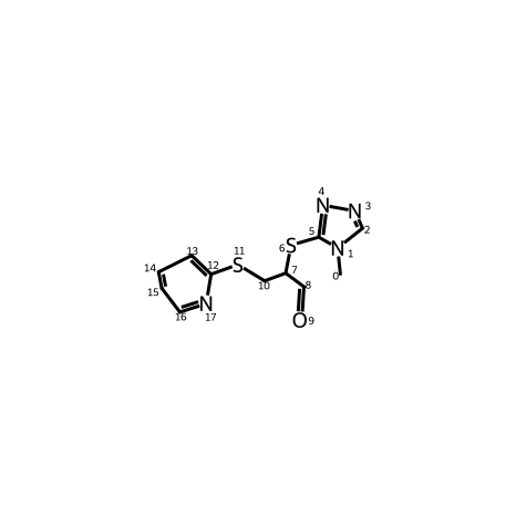 Cn1cnnc1SC(C=O)CSc1ccccn1